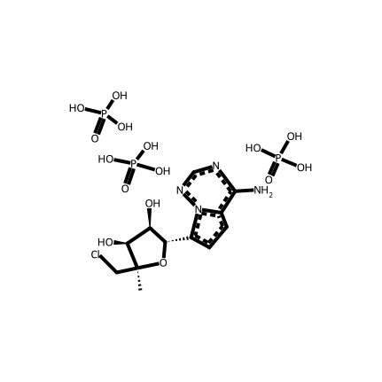 C[C@@]1(CCl)O[C@@H](c2ccc3c(N)ncnn23)[C@H](O)[C@@H]1O.O=P(O)(O)O.O=P(O)(O)O.O=P(O)(O)O